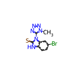 Cn1nnnc1-n1c(=S)[nH]c2ccc(Br)cc21